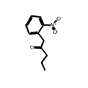 CCCC(=O)Cc1ccccc1[N+](=O)[O-]